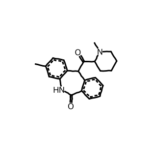 Cc1ccc2c(c1)NC(=O)c1ccccc1C2C(=O)C1CCCCN1C